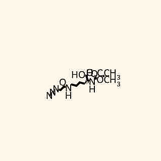 CC(C)(C)OC(=O)N[C@@H](CCCCNC(=O)CN=[N+]=[N-])C(=O)O